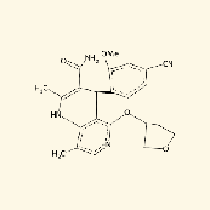 COc1cc(C#N)ccc1[C@@H]1C(C(N)=O)=C(C)Nc2c(C)cnc(OC3CCOC3)c21